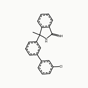 CC1(c2cccc(-c3cccc(Cl)c3)c2)NC(=N)c2ccccc21